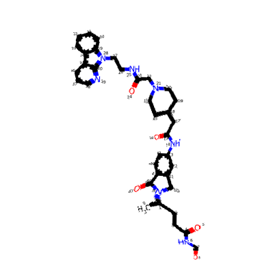 CC(CCC(=O)NC=O)N1Cc2cc(NC(=O)CC3CCN(CC(=O)NCCn4c5ccccc5c5cccnc54)CC3)ccc2C1=O